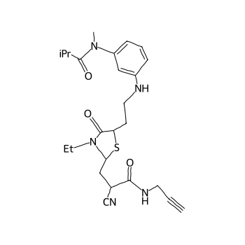 C#CCNC(=O)C(C#N)CC1SC(CCNc2cccc(N(C)C(=O)C(C)C)c2)C(=O)N1CC